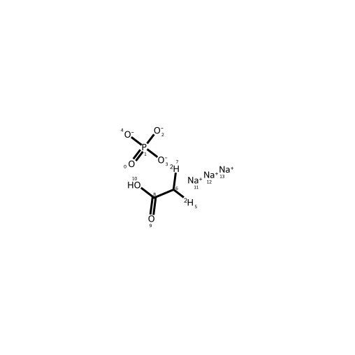 O=P([O-])([O-])[O-].[2H]C([2H])C(=O)O.[Na+].[Na+].[Na+]